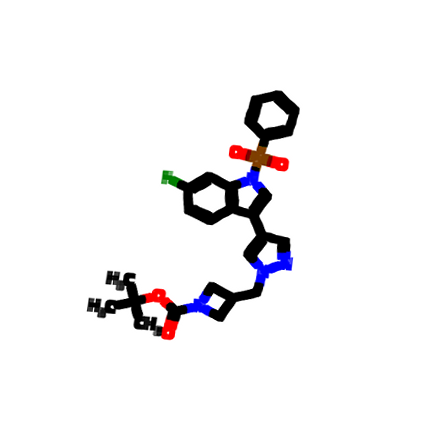 CC(C)(C)OC(=O)N1CC(Cn2cc(-c3cn(S(=O)(=O)c4ccccc4)c4cc(F)ccc34)cn2)C1